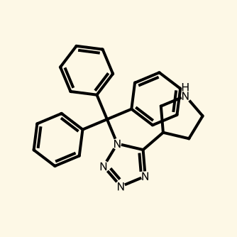 c1ccc(C(c2ccccc2)(c2ccccc2)n2nnnc2C2CCNC2)cc1